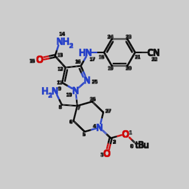 CC(C)(C)OC(=O)N1CCC(CN)(n2cc(C(N)=O)c(Nc3ccc(C#N)cc3)n2)CC1